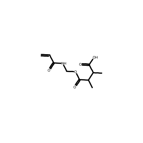 C=CC(=O)NCOC(=O)C(C)C(C)C(=O)O